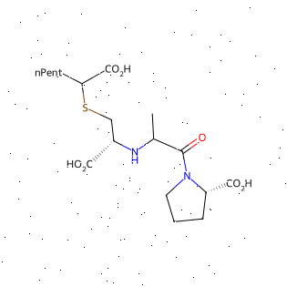 CCCCCC(SC[C@H](NC(C)C(=O)N1CCC[C@H]1C(=O)O)C(=O)O)C(=O)O